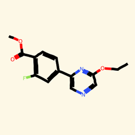 CCOc1cncc(-c2ccc(C(=O)OC)c(F)c2)n1